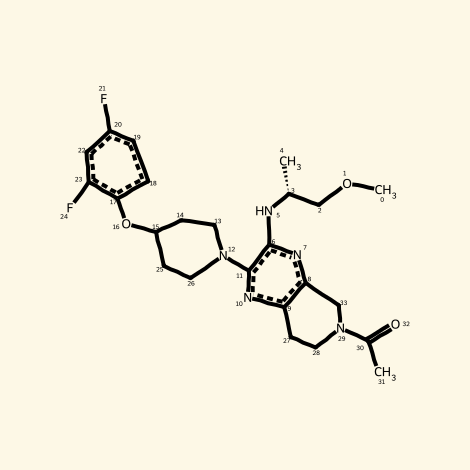 COC[C@@H](C)Nc1nc2c(nc1N1CCC(Oc3ccc(F)cc3F)CC1)CCN(C(C)=O)C2